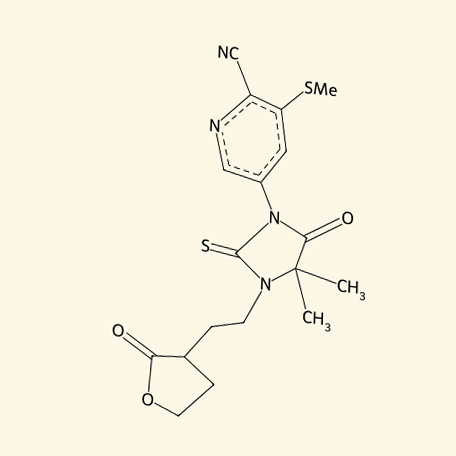 CSc1cc(N2C(=O)C(C)(C)N(CCC3CCOC3=O)C2=S)cnc1C#N